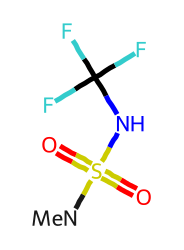 CNS(=O)(=O)NC(F)(F)F